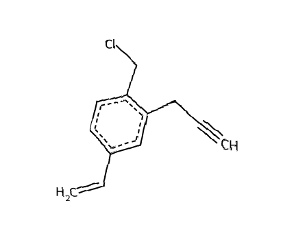 C#CCc1cc(C=C)ccc1CCl